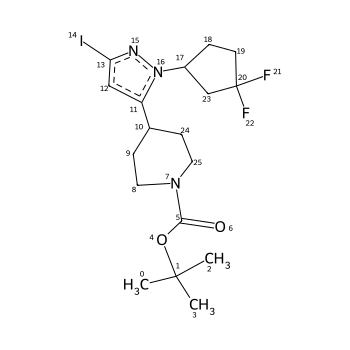 CC(C)(C)OC(=O)N1CCC(c2cc(I)nn2C2CCC(F)(F)C2)CC1